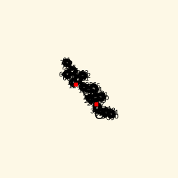 c1ccc(-c2ccc(-c3c4ccccc4c(-c4ccc5oc6c(-c7c8ccccc8c(-c8ccc9oc%10cc%11ccccc%11cc%10c9c8)c8ccccc78)cccc6c5c4)c4ccccc34)c3ccccc23)cc1